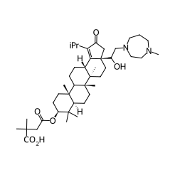 CC(C)C1=C2[C@H]3CCC4[C@@]5(C)CC[C@H](OC(=O)CC(C)(C)C(=O)O)C(C)(C)[C@@H]5CC[C@@]4(C)[C@]3(C)CC[C@@]2(C(O)CN2CCCN(C)CC2)CC1=O